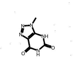 Cn1nnc2c(=O)[nH]c(=O)[nH]c21